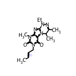 C/C=C/Cn1c(=O)c2c(nc3n2C(C)C(C)=NN3CC)n(C)c1=O